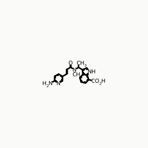 CC(c1c[nH]c2c(C(=O)O)cccc12)N(C)C(=O)/C=C/c1ccc(N)nc1